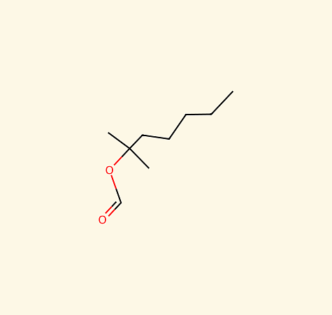 CCCCCC(C)(C)OC=O